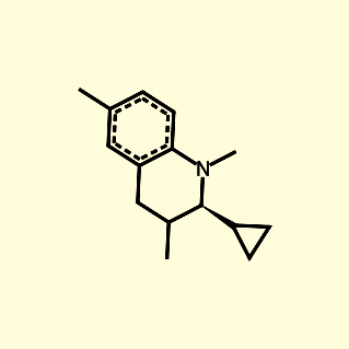 Cc1ccc2c(c1)CC(C)[C@H](C1CC1)N2C